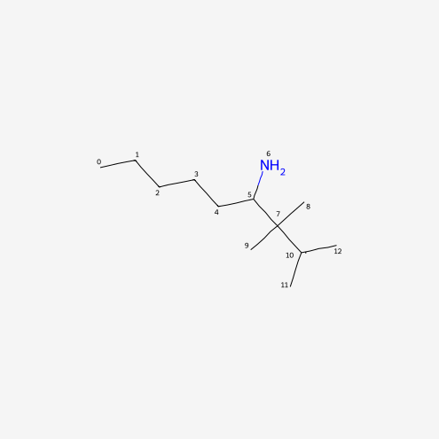 CCCCCC(N)C(C)(C)[C](C)C